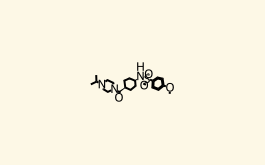 COc1ccc(S(=O)(=O)N[C@H]2CC[C@H](C(=O)N3CCN(C(C)C)CC3)CC2)cc1